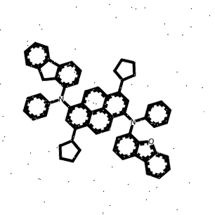 c1ccc(N(c2cccc3c2Cc2ccccc2-3)c2cc(C3CCCC3)c3ccc4c(N(c5ccccc5)c5cccc6c5oc5ccccc56)cc(C5CCCC5)c5ccc2c3c54)cc1